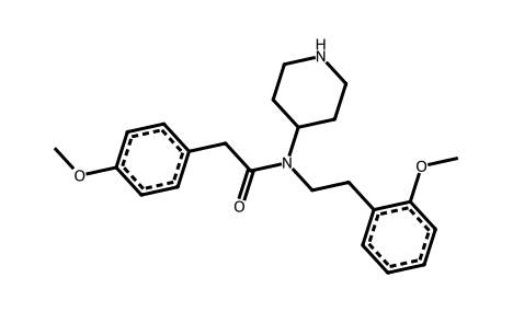 COc1ccc(CC(=O)N(CCc2ccccc2OC)C2CCNCC2)cc1